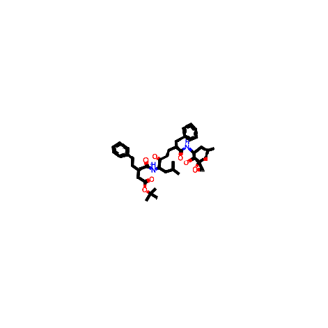 CC(C)CC(NC(=O)C(CCc1ccccc1)CC(=O)OC(C)(C)C)C(=O)CCC(Cc1ccccc1)C(=O)NC(CC(C)C)C(=O)C1(C)CO1